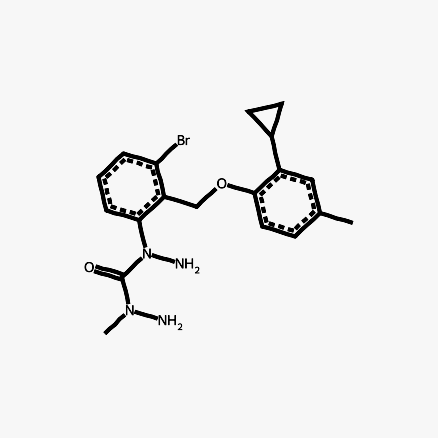 Cc1ccc(OCc2c(Br)cccc2N(N)C(=O)N(C)N)c(C2CC2)c1